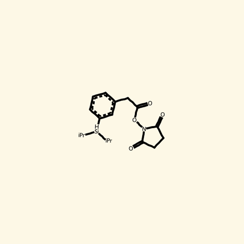 CC(C)[SiH](c1cccc(CC(=O)ON2C(=O)CCC2=O)c1)C(C)C